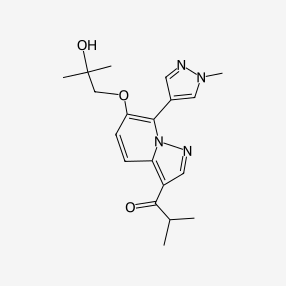 CC(C)C(=O)c1cnn2c(-c3cnn(C)c3)c(OCC(C)(C)O)ccc12